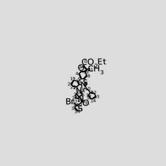 CCOC(=O)c1oc2ccc(SN(CCc3ccccc3)c3ccccc3N3CC4CC3CN4C(=O)c3sccc3Br)cc2c1C